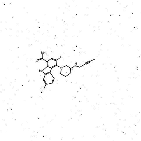 CC#CCN[C@H]1CCCN(c2c(F)cc(C(N)=O)c3[nH]c4cc(C(F)(F)F)ccc4c23)C1